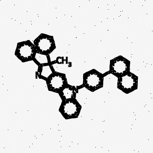 CC1(c2ccccc2)C(c2ccccc2)=Nc2cc3c4ccccc4n(-c4ccc(-c5cccc6ccccc56)cc4)c3cc21